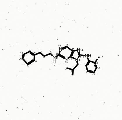 CC(C)Cn1c(Nc2ccccc2F)nc2cnc(NCCCc3ccccc3)nc21